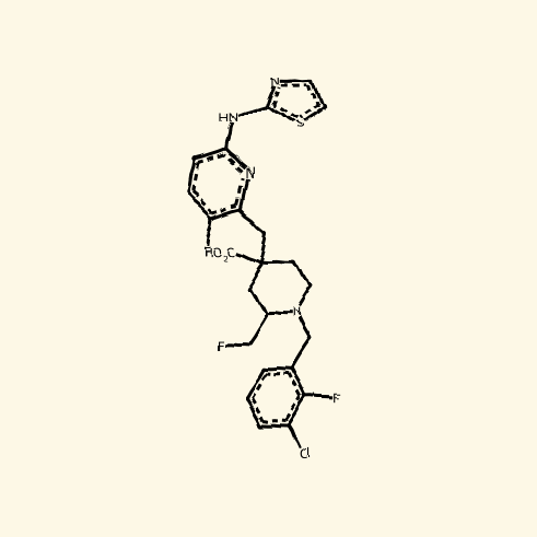 O=C(O)C1(Cc2nc(Nc3nccs3)ccc2F)CCN(Cc2cccc(Cl)c2F)C(CF)C1